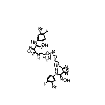 NP(=O)(OCCNc1nonc1C(=NO)Nc1ccc(F)c(Br)c1)OCCNc1nonc1C(=NO)Nc1ccc(F)c(Br)c1